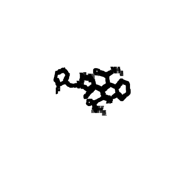 Cc1c(-c2c(C(N)=O)nc3ccccc3c2C(N)=O)nnn1Cc1ccccc1F